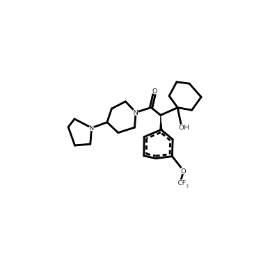 O=C([C@H](c1cccc(OC(F)(F)F)c1)C1(O)CCCCC1)N1CCC(N2CCCC2)CC1